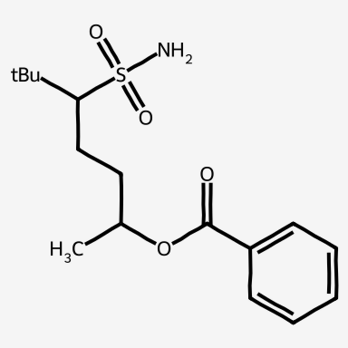 CC(CCC(C(C)(C)C)S(N)(=O)=O)OC(=O)c1ccccc1